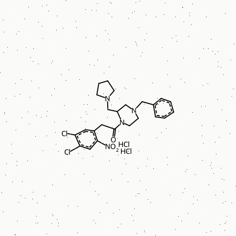 Cl.Cl.O=C(Cc1cc(Cl)c(Cl)cc1[N+](=O)[O-])N1CCN(Cc2ccccc2)CC1CN1CCCC1